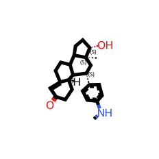 CNc1ccc([C@H]2C[C@@]3(C)C(CC[C@@H]3O)C3CCC4=CC(=O)CC[C@@H]4C32)cc1